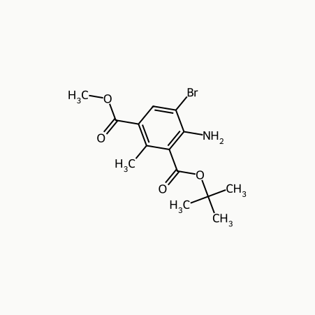 COC(=O)c1cc(Br)c(N)c(C(=O)OC(C)(C)C)c1C